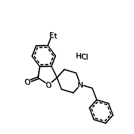 CCc1ccc2c(c1)C1(CCN(Cc3ccccc3)CC1)OC2=O.Cl